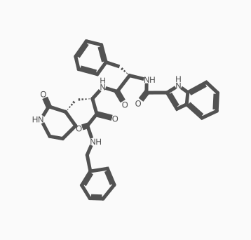 O=C(NCc1ccccc1)C(=O)[C@H](C[C@@H]1CCCNC1=O)NC(=O)[C@H](Cc1ccccc1)NC(=O)c1cc2ccccc2[nH]1